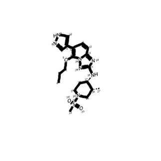 CCCOc1c(-c2cn[nH]c2)ccc2nc(N[C@H]3CCN(S(C)(=O)=O)C[C@H]3C)nn12